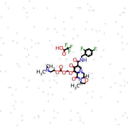 C[C@H]1CO[C@@H]2Cn3cc(C(=O)NCc4ccc(F)cc4F)c(=O)c(OCOC(=O)OCCN(C)C)c3C(=O)N12.O=C(O)C(F)(F)F